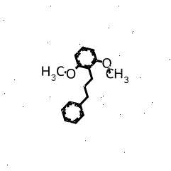 COc1cccc(OC)c1CCCc1ccccc1